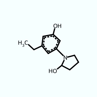 CCc1cc(O)cc(N2CCCC2O)c1